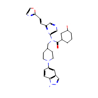 Cn1ncc2cc(N3CCC(CN(C(=O)C4CCCC(O)C4)c4cncc(C=Cc5ncco5)n4)CC3)ccc21